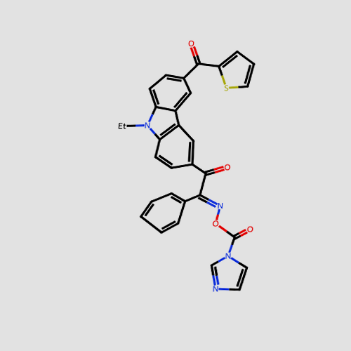 CCn1c2ccc(C(=O)/C(=N/OC(=O)n3ccnc3)c3ccccc3)cc2c2cc(C(=O)c3cccs3)ccc21